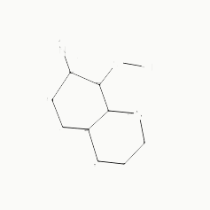 COC1C(N)CCC2CCCNC21